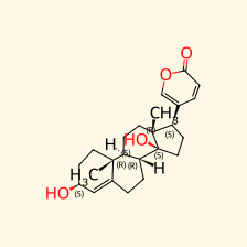 C[C@]12CC[C@H](O)C=C1CC[C@@H]1[C@@H]2CC[C@]2(C)[C@@H](c3ccc(=O)oc3)CC[C@]12O